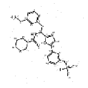 NCc1cccc(CC(NC(=O)C2CCCCC2)c2nnc(-c3cccc(OC(F)(F)F)c3)o2)c1